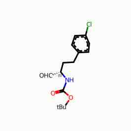 CC(C)(C)OC(=O)N[C@H](C=O)CCc1ccc(Cl)cc1